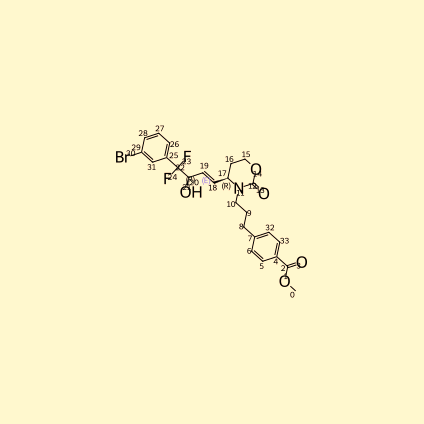 COC(=O)c1ccc(CCCN2C(=O)OCC[C@@H]2/C=C/[C@@H](O)C(F)(F)c2cccc(Br)c2)cc1